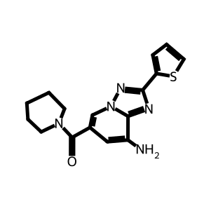 Nc1cc(C(=O)N2CCCCC2)cn2nc(-c3cccs3)nc12